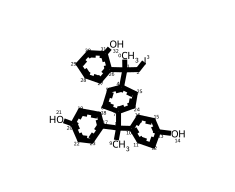 CC(CI)(c1ccc(C(C)(c2ccc(O)cc2)c2ccc(O)cc2)cc1)c1ccccc1O